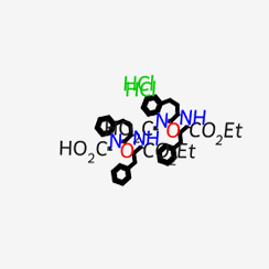 CCOC(=O)[C@H](CCc1ccccc1)N[C@H]1CCc2ccccc2N(CC(=O)O)C1=O.CCOC(=O)[C@H](CCc1ccccc1)N[C@H]1CCc2ccccc2N(CC(=O)O)C1=O.Cl.Cl